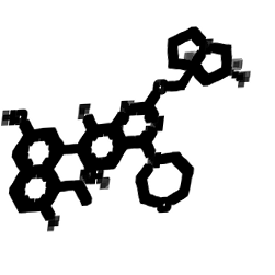 CCc1c(F)ccc2cc(O)cc(-c3c(N)cc4c(N5CCCOCC5)nc(OC[C@@]56CCCN5C[C@H](F)C6)nc4c3F)c12